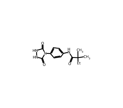 CCC(C)(C)C(=O)Nc1ccc(-n2c(=O)[nH][nH]c2=O)cc1